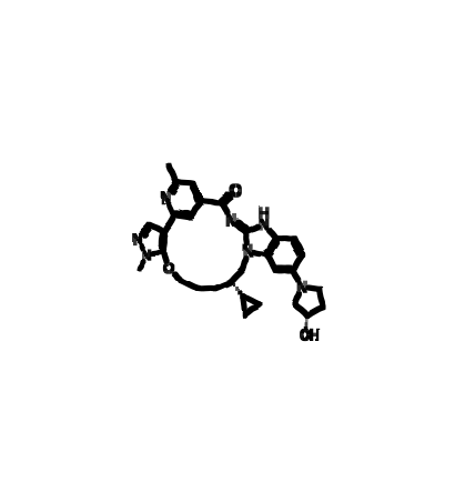 Cc1cc2cc(n1)-c1cnn(C)c1OCCC[C@@H](C1CC1)CN1/C(=N/C2=O)Nc2ccc(N3CC[C@H](O)C3)cc21